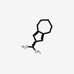 CC(C)=C1C=C2CCCCCC2=C1